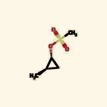 C[C@@H]1C[C@H]1OS(C)(=O)=O